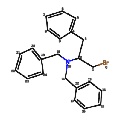 BrCC(Cc1ccccc1)N(Cc1ccccc1)Cc1ccccc1